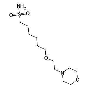 NS(=O)(=O)CCCCCCOCCN1CCOCC1